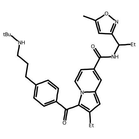 CCc1cc2cc(C(=O)NC(CC)c3cc(C)on3)ccn2c1C(=O)c1ccc(CCCNC(C)(C)C)cc1